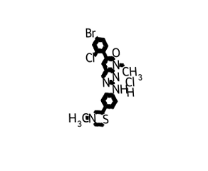 CCn1c(=O)c(-c2ccc(Br)cc2Cl)cc2cnc(Nc3ccc(C4CN(C)CCS4)cc3)nc21.Cl